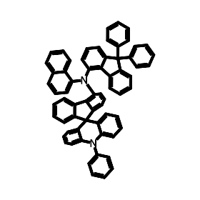 c1ccc(N2c3ccccc3C3(c4ccccc4-c4c(N(c5cccc6c5-c5ccccc5C6(c5ccccc5)c5ccccc5)c5cccc6ccccc56)cccc43)c3ccccc32)cc1